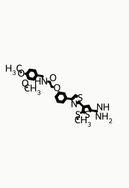 COc1ccc(CNC(=O)COc2cccc(-c3csc(-c4cc(C(=N)N)sc4SC)n3)c2)cc1OC